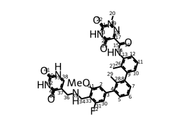 COc1cc(-c2cccc(-c3cccc(NC(=O)c4nn(C)c(=O)[nH]c4=O)c3C)c2C)cc(F)c1CNCc1c[nH]c(=O)[nH]c1=O